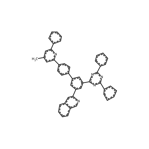 Cc1cc(-c2ccccc2)nc(-c2ccc(-c3cc(-c4cc5ccccc5cn4)cc(-c4nc(-c5ccccc5)nc(-c5ccccc5)n4)c3)cc2)c1